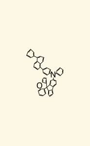 c1ccc(-c2cccc3c(-c4ccc(N(c5ccccc5)c5ccc6c(c5)C5(c7ccccc7Oc7ccccc75)c5ccccc5-6)cc4)cccc23)cc1